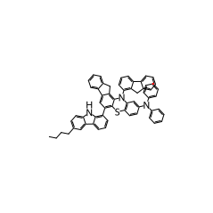 CCCCc1ccc2[nH]c3c(-c4cc5c(c6c4Sc4ccc(N(c7ccccc7)c7ccccc7)cc4N6c4cccc6c4Cc4ccccc4-6)Cc4ccccc4-5)cccc3c2c1